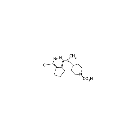 CN(c1nnc(Cl)c2c1CCC2)C1CCN(C(=O)O)CC1